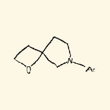 CC(=O)N1CCC2(CCO2)C1